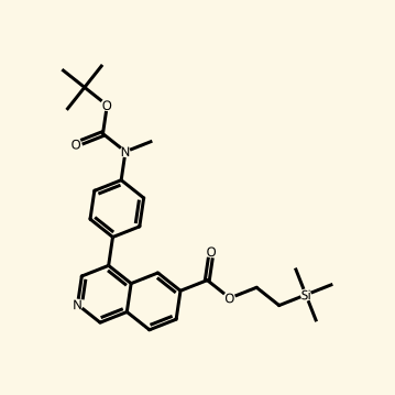 CN(C(=O)OC(C)(C)C)c1ccc(-c2cncc3ccc(C(=O)OCC[Si](C)(C)C)cc23)cc1